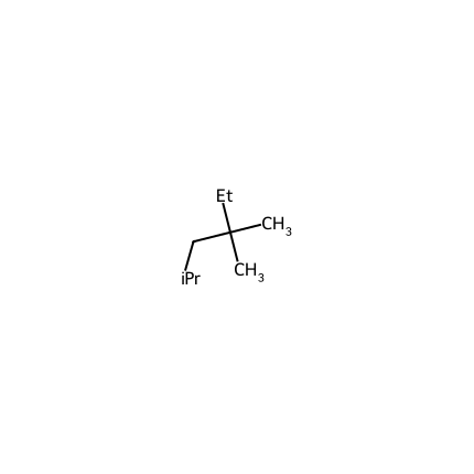 [CH]C(C)CC(C)(C)C[CH2]